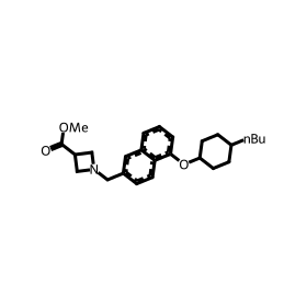 CCCCC1CCC(Oc2cccc3cc(CN4CC(C(=O)OC)C4)ccc23)CC1